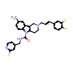 O=C(NCc1ccnc(F)c1)n1c2c(c3cc(C(F)(F)F)ccc31)CN(C/C=C/c1ccc(F)c(F)c1)CC2